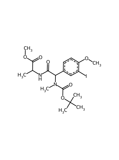 COC(=O)C(C)NC(=O)C(c1ccc(OC)c(I)c1)N(C)C(=O)OC(C)(C)C